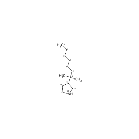 CCCCCCC(C)(C)C1CCNC1